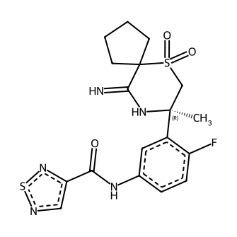 C[C@@]1(c2cc(NC(=O)c3cnsn3)ccc2F)CS(=O)(=O)C2(CCCC2)C(=N)N1